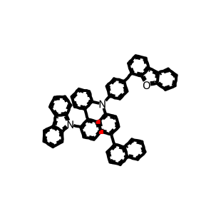 c1ccc(N(c2ccc(-c3cccc4ccccc34)cc2)c2ccc(-c3cccc4c3oc3ccccc34)cc2)c(-c2ccccc2-n2c3ccccc3c3ccccc32)c1